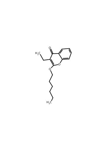 CCCCCCOc1oc2ccccc2c(=O)c1CC